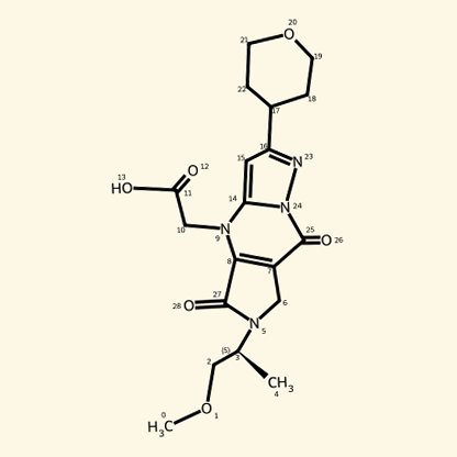 COC[C@H](C)N1Cc2c(n(CC(=O)O)c3cc(C4CCOCC4)nn3c2=O)C1=O